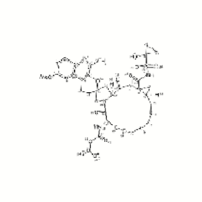 COc1ccc2nc(C)c3c(c2c1)CC[C@]1(C[C@H]2C(=O)N[C@]4(C(=O)NS(=O)(=O)C5(C)CC5)C[C@H]4/C=C\CCCCC[C@H](NC(=O)OC(C(C)(C)C)C(F)(F)F)C(=O)N2C1)O3